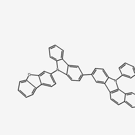 c1ccc(-n2c3ccc(-c4ccc5c(c4)c4ccccc4n5-c4ccc5c(c4)oc4ccccc45)cc3c3ccc4ccccc4c32)cc1